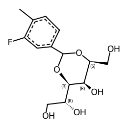 Cc1ccc(C2O[C@H]([C@H](O)CO)[C@H](O)[C@H](CO)O2)cc1F